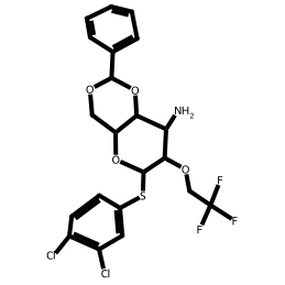 NC1C2OC(c3ccccc3)OCC2OC(Sc2ccc(Cl)c(Cl)c2)C1OCC(F)(F)F